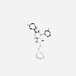 CC12Cc3c([nH]c4ccc(Br)cc34)C(c3cccc(O)c3)N1C(=O)N(CCN1CCCCC1)C2=O